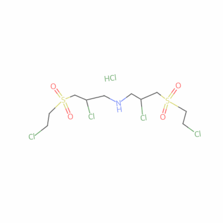 Cl.O=S(=O)(CCCl)CC(Cl)CNCC(Cl)CS(=O)(=O)CCCl